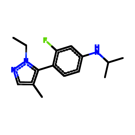 CCn1ncc(C)c1-c1ccc(NC(C)C)cc1F